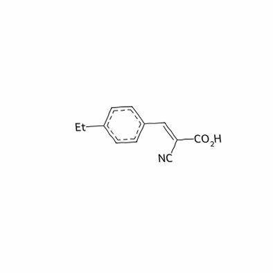 CCc1ccc(/C=C(\C#N)C(=O)O)cc1